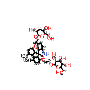 CC(C)(C)c1ccc(OCCOC2OC(CO)C(O)CC2O)c(C2(c3cc(C(C)(C)C)ccc3OCCOC3OC(CO)C(O)C(O)C3O)C(=O)Nc3ccccc32)c1